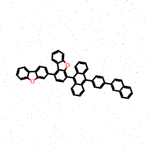 c1ccc2cc(-c3ccc(-c4c5ccccc5c(-c5ccc(-c6ccc7c(c6)oc6ccccc67)c6c5oc5ccccc56)c5ccccc45)cc3)ccc2c1